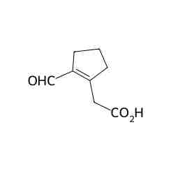 O=CC1=C(CC(=O)O)CCC1